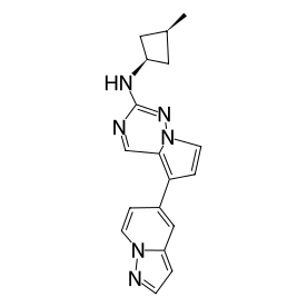 C[C@H]1C[C@@H](Nc2ncc3c(-c4ccn5nccc5c4)ccn3n2)C1